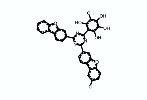 Oc1c(O)c(O)c(-c2nc(-c3ccc4c(c3)oc3ccccc34)nc(-c3ccc4c(c3)oc3ccc(Cl)cc34)n2)c(O)c1O